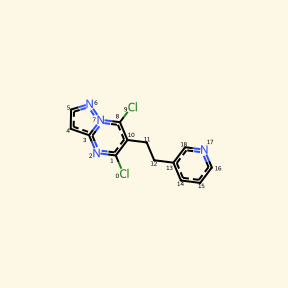 Clc1nc2ccnn2c(Cl)c1CCc1cccnc1